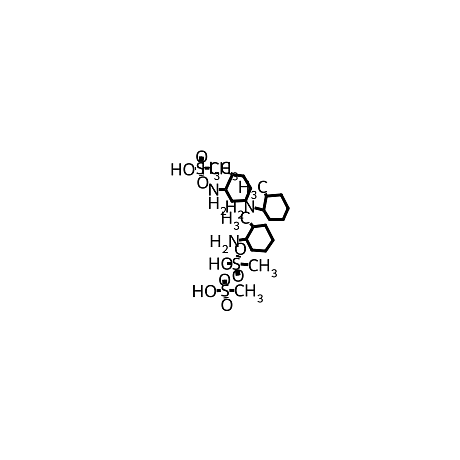 CC1CCCCC1N.CC1CCCCC1N.CC1CCCCC1N.CS(=O)(=O)O.CS(=O)(=O)O.CS(=O)(=O)O